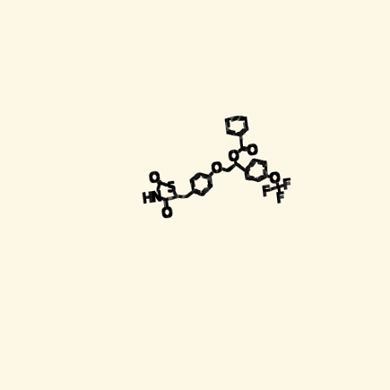 O=C1NC(=O)C(Cc2ccc(OC[C@@H](OC(=O)c3ccccc3)c3ccc(OC(F)(F)F)cc3)cc2)S1